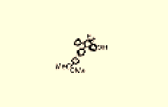 COC(OC)C1CCN(c2ccc([C@H]3c4ccc(O)cc4C(F)(F)C[C@H]3C3CCCC3)cc2)CC1